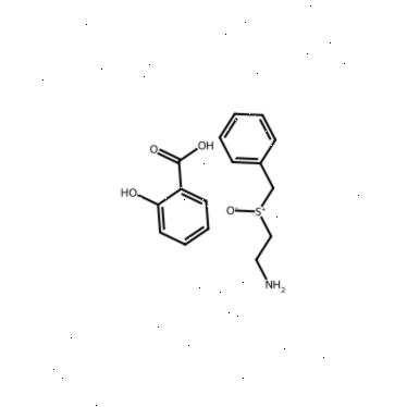 NCC[S+]([O-])Cc1ccccc1.O=C(O)c1ccccc1O